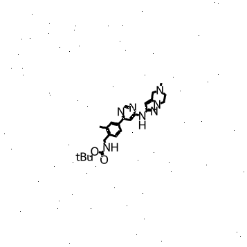 Cc1cc(-c2cc(Nc3cc4n(n3)CCN(C)C4)ncn2)ccc1CNC(=O)OC(C)(C)C